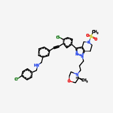 C[C@H]1COCCN1CCCn1nc(-c2ccc(Cl)c(C#Cc3cccc(CNCc4ccc(Cl)cc4)c3)c2)c2c1CCN(S(C)(=O)=O)C2